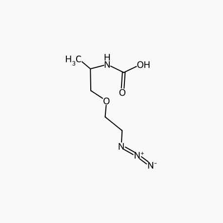 CC(COCCN=[N+]=[N-])NC(=O)O